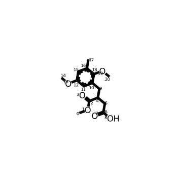 COC(=O)C(CC(=O)O)Cc1cc(OC)cc(C)c1OC